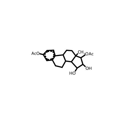 CC(=O)Oc1ccc2c(c1)CCC1C2CCC2(C)C(OC(C)=O)C(O)C(O)C12